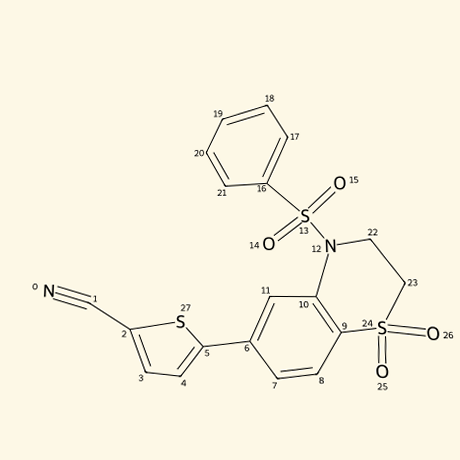 N#Cc1ccc(-c2ccc3c(c2)N(S(=O)(=O)c2ccccc2)CCS3(=O)=O)s1